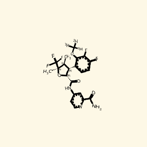 [2H]C([2H])([2H])Oc1c([C@@H]2[C@H](C(=O)Nc3ccnc(C(N)=O)c3)O[C@@](C)(C(F)(F)F)[C@H]2C)ccc(F)c1F